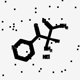 C[C@](N)(C(N)=O)C(=O)c1cccnc1.Cl